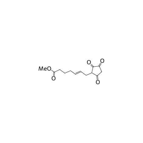 COC(=O)CCCC=CCC1C(=O)CC(=O)C1=O